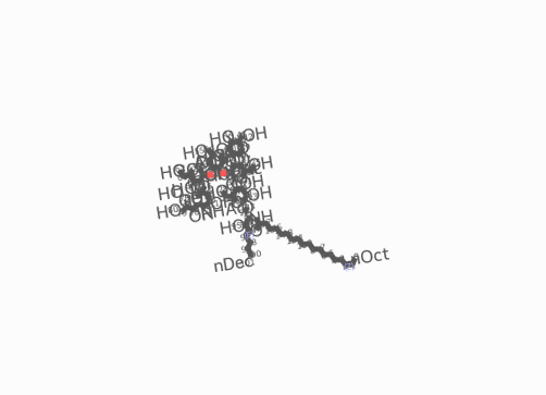 CCCCCCCC/C=C\CCCCCCCCCCCCCCCC(=O)N[C@@H](CO[C@@H]1OC(CO)[C@@H](O[C@@H]2OC(CO)[C@H](O[C@@H]3OC(CO)[C@H](O)[C@H](O)C3NC(C)=O)[C@H](O[C@@H]3OC(CO)[C@@H](O[C@@H]4OC(CO)[C@H](O)[C@H](O[C@]5(C(=O)O)CC(O)[C@@H](NC(C)=O)C([C@H](O)[C@H](O)CO)O5)C4O)[C@H](O)C3NC(C)=O)C2O)[C@H](O)C1O)[C@H](O)/C=C/CCCCCCCCCCCCC